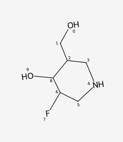 OCC1CNCC(F)C1O